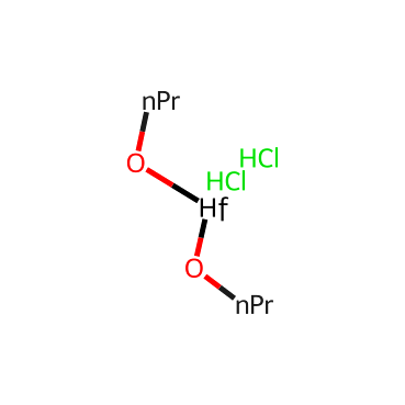 CCC[O][Hf][O]CCC.Cl.Cl